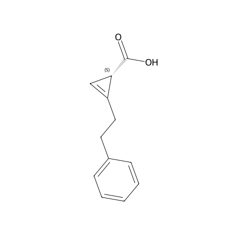 O=C(O)[C@H]1C=C1CCc1ccccc1